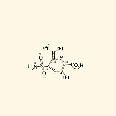 CCNC(C)C.CCc1cc(S(N)(=O)=O)ccc1C(=O)O